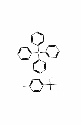 CC(C)(C)c1ccc(I)cc1.c1ccc([B-](c2ccccc2)(c2ccccc2)c2ccccc2)cc1